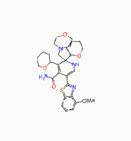 COc1cccc2sc(C3=CNC(CN4CCOCC4)(C4CCCCO4)C(C4CCCCO4)=C3C(N)=O)nc12